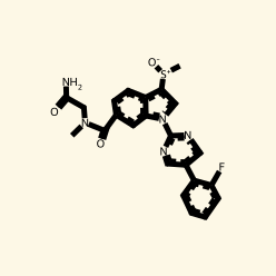 CN(CC(N)=O)C(=O)c1ccc2c([S+](C)[O-])cn(-c3ncc(-c4ccccc4F)cn3)c2c1